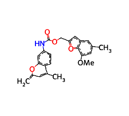 C=C1C=C(C)c2ccc(NC(=O)OCc3cc4cc(C)cc(OC)c4o3)cc2O1